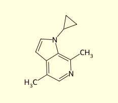 Cc1cnc(C)c2c1ccn2C1CC1